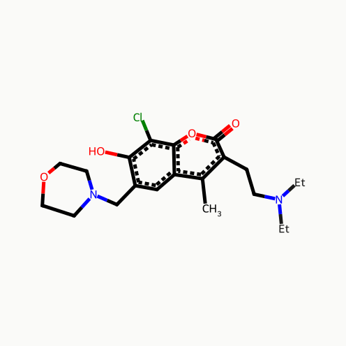 CCN(CC)CCc1c(C)c2cc(CN3CCOCC3)c(O)c(Cl)c2oc1=O